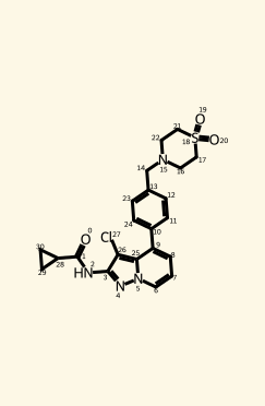 O=C(Nc1nn2cccc(-c3ccc(CN4CCS(=O)(=O)CC4)cc3)c2c1Cl)C1CC1